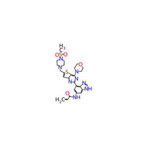 C=CC(=O)Nc1cc(-c2nc(N3CCOCC3)c3sc(CN4CCN(S(C)(=O)=O)CC4)cc3n2)c2nc[nH]c2c1